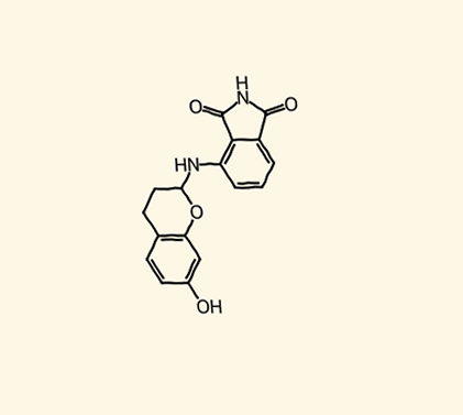 O=C1NC(=O)c2c(NC3CCc4ccc(O)cc4O3)cccc21